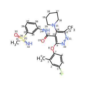 Cc1cc(F)ccc1Oc1nnc(C(F)(F)F)c(N2CCCCC2)c1C(=O)Nc1cccc([S@@](C)(=N)=O)c1